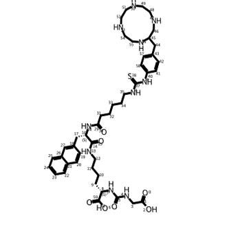 O=C(O)CNC(=O)N[C@@H](CCCCNC(=O)[C@H](Cc1ccc2ccccc2c1)NC(=O)CCCCCNC(=S)Nc1ccc(CC2CNCCNCCNCCN2)cc1)C(=O)O